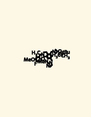 CNc1nccn1Cc1cc(CN2CC(O[Si](C)(C)C(C)(C)C)C2)c2c(c1)C(=O)N(C(C)c1cc(OC)c(F)cn1)CC2